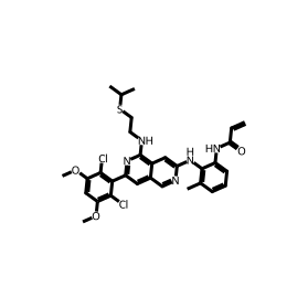 C=CC(=O)Nc1cccc(C)c1Nc1cc2c(NCCSC(C)C)nc(-c3c(Cl)c(OC)cc(OC)c3Cl)cc2cn1